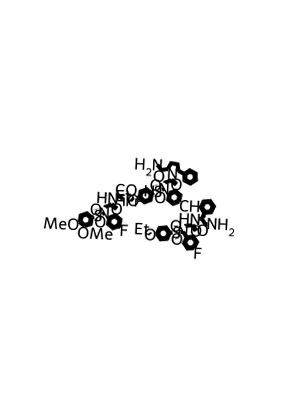 CCOc1ccc(S(=O)(=O)N(CC(=O)N2C(C(N)=O)CCC2c2ccccc2)c2ccc(C)cc2)cc1.CCOc1ccc(S(=O)(=O)N(CC(=O)NC(C(N)=O)c2ccccc2)c2ccc(F)cc2)cc1.COc1ccc(S(=O)(=O)N(CC(=O)N[C@H](C(=O)O)C(C)C)c2ccc(F)cc2)cc1OC